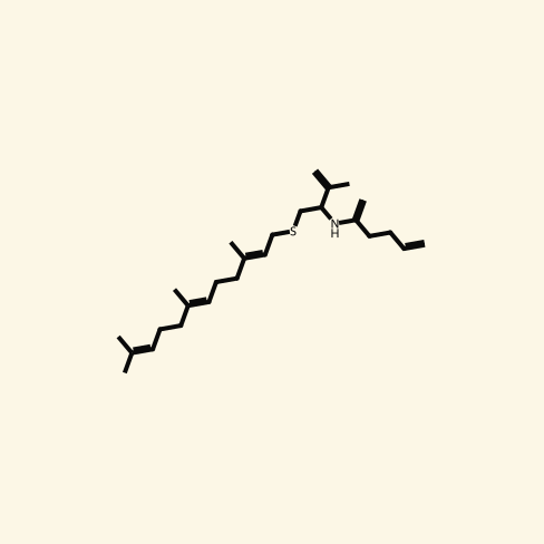 C=CCCC(=C)NC(CSC/C=C(\C)CC/C=C(\C)CCC=C(C)C)C(=C)C